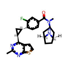 Cc1nc([C@H]2C[C@@H]2c2ccc(C(=O)N(C)C3C[C@H]4CC[C@@H](C3)N4)cc2F)c2ccsc2n1